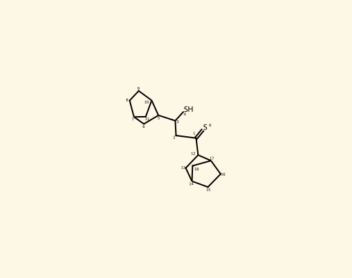 S=C(CC(S)C1CC2CCC1C2)C1CC2CCC1C2